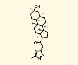 Cc1nnn(CC(=O)[C@H]2CC[C@H]3[C@@H]4CC[C@]5(C)C[C@](C)(O)CC[C@]5(C)[C@H]4CC[C@]23C)n1